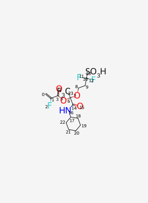 C=C(F)C(=O)OC(OCCC(F)(F)S(=O)(=O)O)(C(=O)NC1CCCCC1)C(F)(F)F